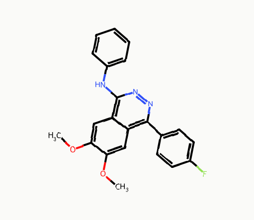 COc1cc2c(Nc3ccccc3)nnc(-c3ccc(F)cc3)c2cc1OC